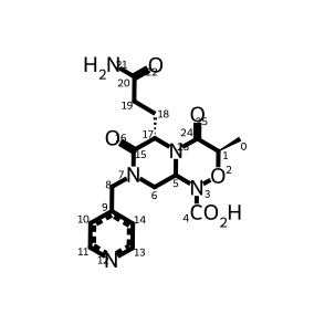 C[C@H]1ON(C(=O)O)C2CN(Cc3ccncc3)C(=O)[C@H](CCC(N)=O)N2C1=O